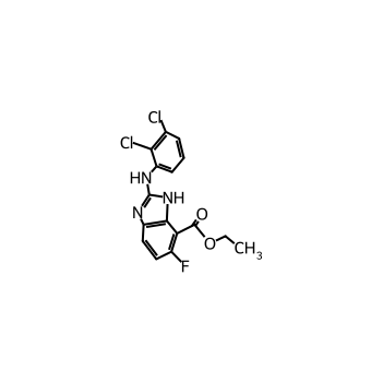 CCOC(=O)c1c(F)ccc2nc(Nc3cccc(Cl)c3Cl)[nH]c12